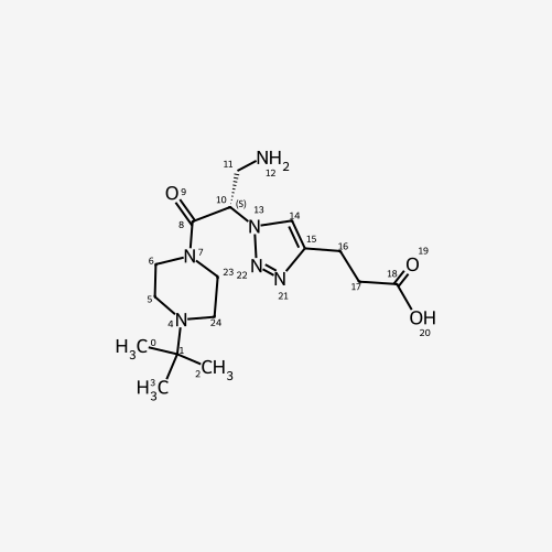 CC(C)(C)N1CCN(C(=O)[C@H](CN)n2cc(CCC(=O)O)nn2)CC1